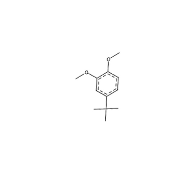 COc1ccc(C(C)(C)C)cc1OC